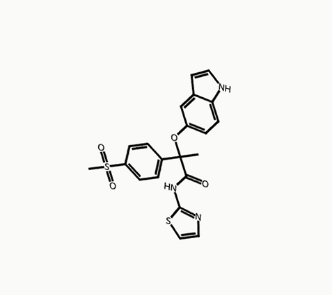 CC(Oc1ccc2[nH]ccc2c1)(C(=O)Nc1nccs1)c1ccc(S(C)(=O)=O)cc1